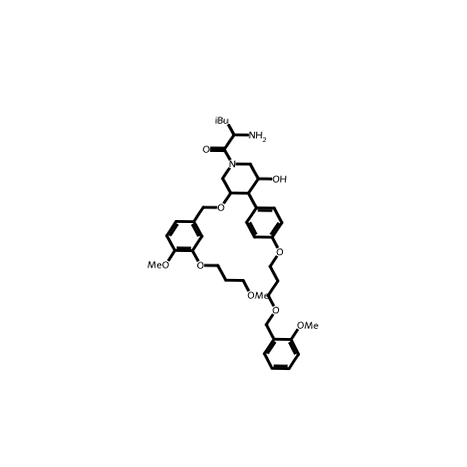 CCC(C)C(N)C(=O)N1CC(O)C(c2ccc(OCCCOCc3ccccc3OC)cc2)C(OCc2ccc(OC)c(OCCCOC)c2)C1